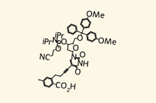 COc1ccc(C(OCC2OC(n3cc(C#CCCc4cc(C)ccc4C(=O)O)c(=O)[nH]c3=O)CC2OP(OCCC#N)N(C(C)C)C(C)C)(c2ccccc2)c2ccc(OC)cc2)cc1